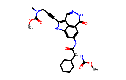 CN(CC#Cc1[nH]c2cc(NC(=O)[C@H](NC(=O)OC(C)(C)C)C3CCCCC3)cc3c2c1C=NNC3=O)C(=O)OC(C)(C)C